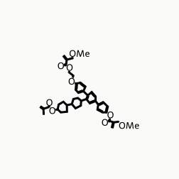 C=C(C)C(=O)OC1CCC(C2CCC(c3cc(-c4ccc(OC(=O)C(=C)COC)cc4)ccc3-c3ccc(OCCOC(=O)C(=C)COC)cc3)CC2)CC1